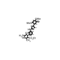 CCOC(=O)C1=C(C)NC(C)=C(C(=O)OCC)C1c1cccc(Nc2nc(-c3cc(Br)c(OC)cc3OC)cs2)c1